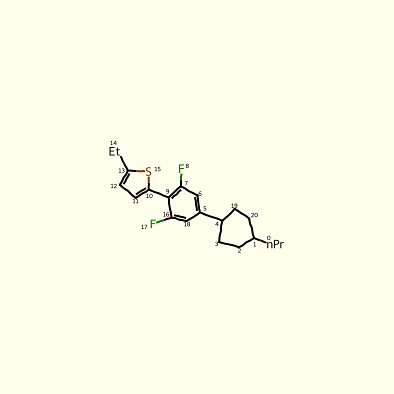 CCCC1CCC(c2cc(F)c(-c3ccc(CC)s3)c(F)c2)CC1